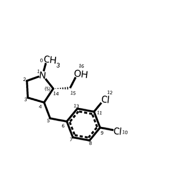 CN1CCC(Cc2ccc(Cl)c(Cl)c2)[C@H]1CO